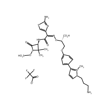 C[n+]1c(-c2ccc(OC[C@H](O/N=C(\C(=O)N[C@@H]3C(=O)N(OS(=O)(=O)O)C3(C)C)c3csc(N)n3)C(=O)O)cc2)ccn1CCCN.O=C([O-])C(F)(F)F